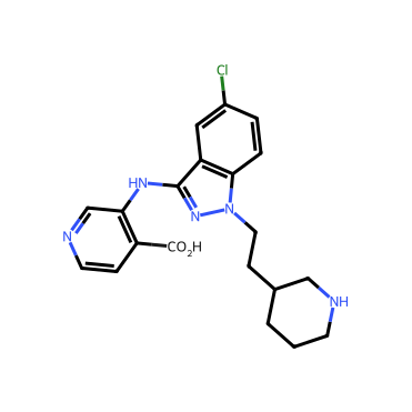 O=C(O)c1ccncc1Nc1nn(CCC2CCCNC2)c2ccc(Cl)cc12